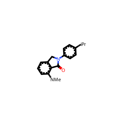 CNc1cccc2c1C(=O)N(c1ccc(C(C)C)cc1)C2